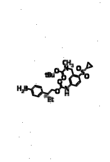 Bc1ccc([C@@H](CC)COC(=O)Nc2ccc(S(=O)(=O)C3CC3)c(CN(C)C(=O)OC(C)(C)C)c2)cc1